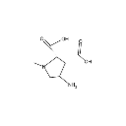 CN1CC(N)C[C@H]1C(=O)O.O=CO